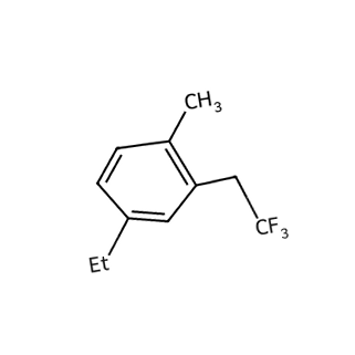 CCc1ccc(C)c(CC(F)(F)F)c1